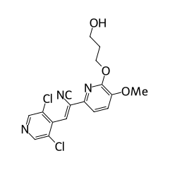 COc1ccc(C(C#N)=Cc2c(Cl)cncc2Cl)nc1OCCCO